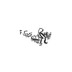 C[C@H]1[C@H](F)C[C@@H](C(=O)NCc2cc(-c3cnc(C(F)(F)F)s3)ncc2Cl)N1C(=O)O